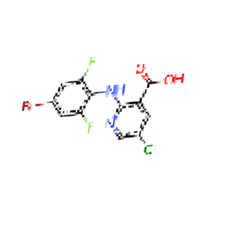 O=C(O)c1cc(Cl)cnc1Nc1c(F)cc(Br)cc1F